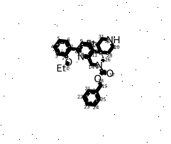 CCOc1ccccc1-c1ccc2c(n1)CN(C(=O)OCc1ccccc1)C[C@]21CCNC[C@H]1CC